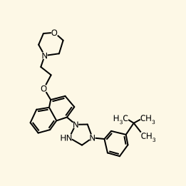 CC(C)(C)c1cccc(N2CNN(c3ccc(OCCN4CCOCC4)c4ccccc34)C2)c1